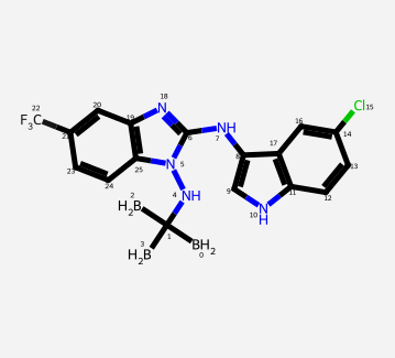 BC(B)(B)Nn1c(Nc2c[nH]c3ccc(Cl)cc23)nc2cc(C(F)(F)F)ccc21